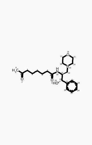 CC(=O)CCCCCC(=O)N[C@@H](CN1CCOCC1)[C@@H](O)c1ccccc1